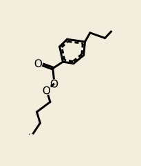 [CH2]CCCOOC(=O)c1ccc(CCC)cc1